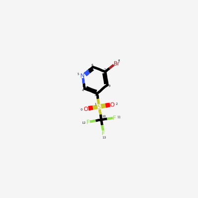 O=S(=O)(c1cncc(Br)c1)C(F)(F)F